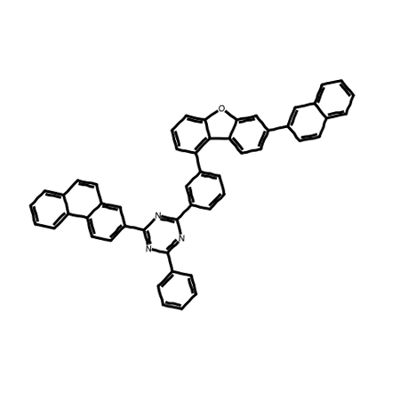 c1ccc(-c2nc(-c3cccc(-c4cccc5oc6cc(-c7ccc8ccccc8c7)ccc6c45)c3)nc(-c3ccc4c(ccc5ccccc54)c3)n2)cc1